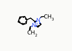 C=C[n+]1ccn(CC)c1Cc1ccccc1